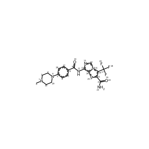 CN1CCN(c2ccc(C(=O)Nc3ncn4c(C(F)(F)F)c(C(N)=O)sc34)cc2)CC1